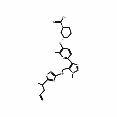 C=CCC(C)c1nc(NCc2c(-c3ccc(O[C@H]4CCC[C@H](C(=O)O)C4)c(C)n3)nnn2C)no1